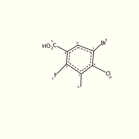 Cc1c(F)c(C(=O)O)cc(Br)c1Cl